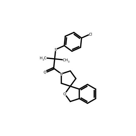 CC(C)(Sc1ccc(Cl)cc1)C(=O)N1CCC2(C1)OCc1ccccc12